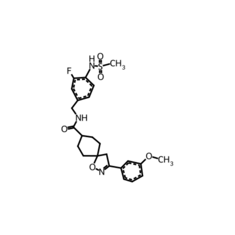 COc1cccc(C2=NOC3(CCC(C(=O)NCc4ccc(NS(C)(=O)=O)c(F)c4)CC3)C2)c1